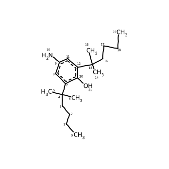 CCCCC(C)(C)c1cc(N)cc(C(C)(C)CCCC)c1O